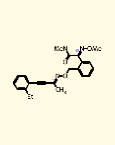 CCc1ccccc1C#C/C(C)=N/OCc1ccccc1/C(=N\OC)C(=O)NC